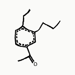 CCCc1cc(C(C)=O)ccc1CC